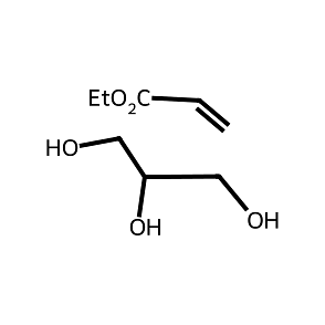 C=CC(=O)OCC.OCC(O)CO